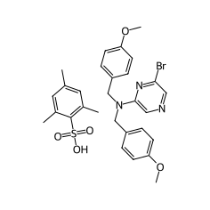 COc1ccc(CN(Cc2ccc(OC)cc2)c2cncc(Br)n2)cc1.Cc1cc(C)c(S(=O)(=O)O)c(C)c1